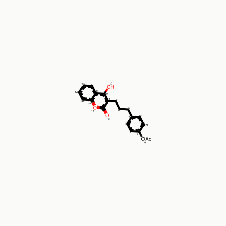 CC(=O)Oc1ccc(CCCc2c(O)c3ccccc3oc2=O)cc1